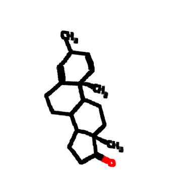 CC1C=C[C@@]2(C)C(=C1)CCC1C2CC[C@]2(C)C(=O)CCC12